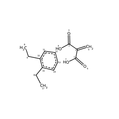 C=C(C(=O)O)C(=O)O.CCc1ccccc1CC